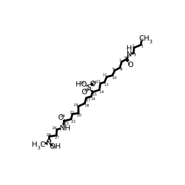 CCCCNC(=O)CCCCCCCCC(CCCCCCCC(=O)NCCCN(C)O)S(=O)(=O)O